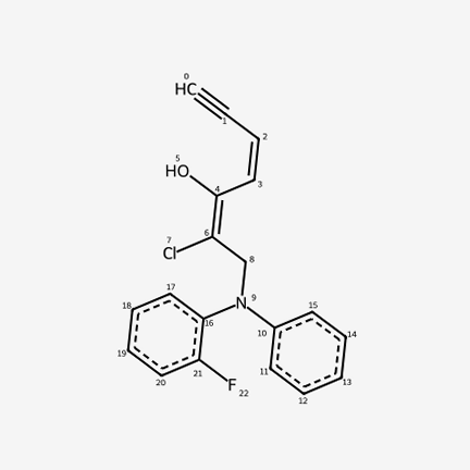 C#C/C=C\C(O)=C(\Cl)CN(c1ccccc1)c1ccccc1F